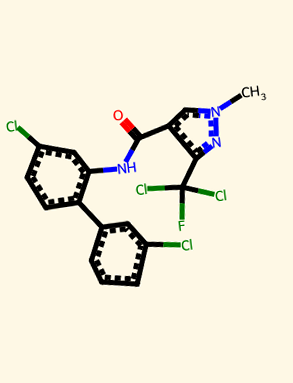 Cn1cc(C(=O)Nc2cc(Cl)ccc2-c2cccc(Cl)c2)c(C(F)(Cl)Cl)n1